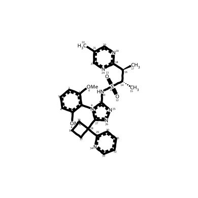 COc1cccc(OC)c1-n1c(NS(=O)(=O)[C@@H](C)[C@H](C)c2ncc(C)cn2)nnc1C1(c2ccccn2)CCC1